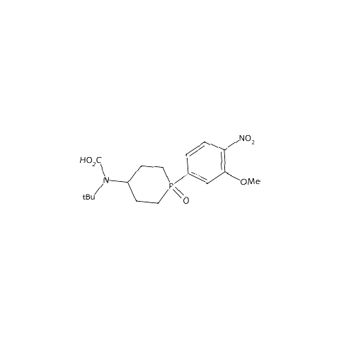 COc1cc(P2(=O)CCC(N(C(=O)O)C(C)(C)C)CC2)ccc1[N+](=O)[O-]